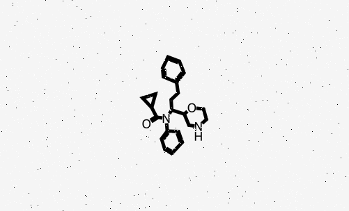 O=C(C1CC1)N(c1ccccc1)C(CCc1ccccc1)C1CNCCO1